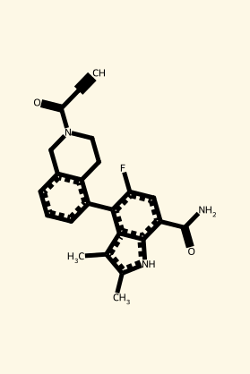 C#CC(=O)N1CCc2c(cccc2-c2c(F)cc(C(N)=O)c3[nH]c(C)c(C)c23)C1